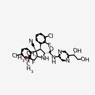 CC(C)(C)C[C@@H]1N[C@@H](C(=O)Nc2cnc([C@H](O)CO)cn2)[C@H](c2cccc(Cl)c2F)[C@@]1(C#N)c1ccc(Cl)cc1F